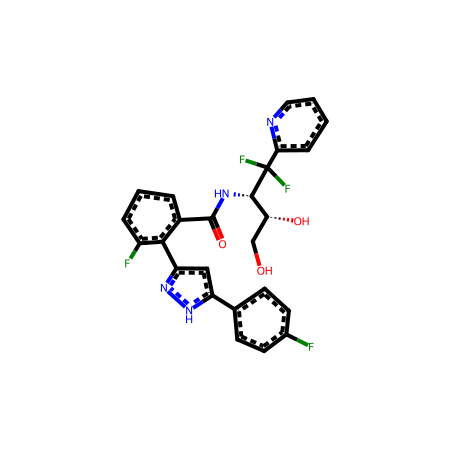 O=C(N[C@@H]([C@H](O)CO)C(F)(F)c1ccccn1)c1cccc(F)c1-c1cc(-c2ccc(F)cc2)[nH]n1